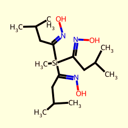 CC(C)CC(=NO)[Si](C)(C(CC(C)C)=NO)C(CC(C)C)=NO